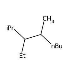 [CH2]C(C)C(CC)C(C)CCCC